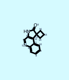 O=C1Nc2cnc3ccccc3c2C12CCC2